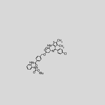 Cc1sc2c(c1C)C(c1ccc(Cl)cc1)=N[C@@H](CC(=O)OCc1ccc(C(=O)Nc3ccccc3NC(=O)OC(C)(C)C)cc1)C(=O)N2